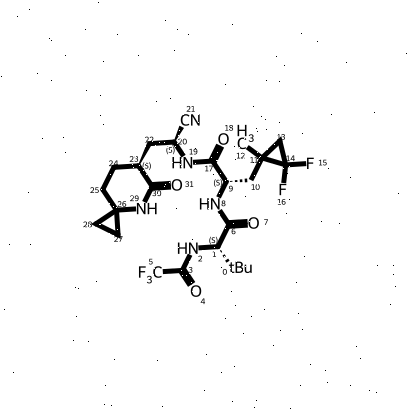 CC(C)(C)[C@H](NC(=O)C(F)(F)F)C(=O)N[C@@H](CC1(C)CC1(F)F)C(=O)N[C@H](C#N)C[C@@H]1CCC2(CC2)NC1=O